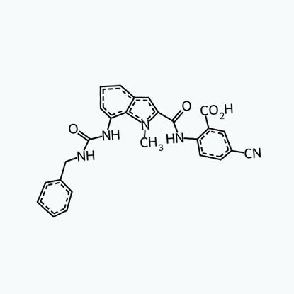 Cn1c(C(=O)Nc2ccc(C#N)cc2C(=O)O)cc2cccc(NC(=O)NCc3ccccc3)c21